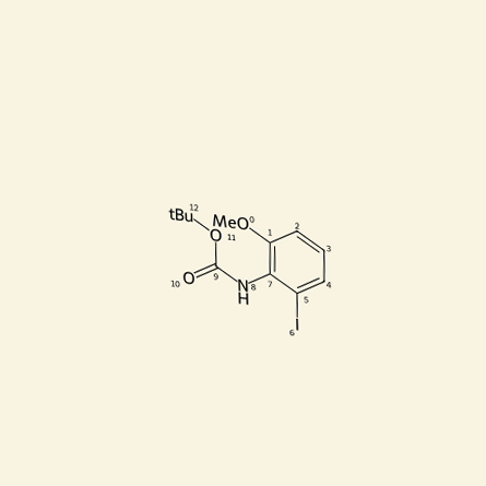 COc1cccc(I)c1NC(=O)OC(C)(C)C